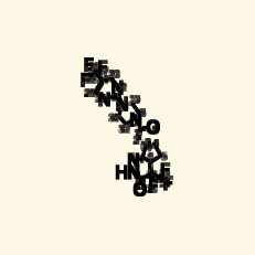 O=C(C[C@@H]1CCc2c1n[nH]c(=O)c2C(F)(F)F)N1CCN(c2ncc(C(F)(F)F)cn2)CC1